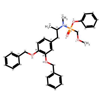 COCP(=O)(Oc1ccccc1)N(C)C(C)Cc1ccc(OCc2ccccc2)c(OCc2ccccc2)c1